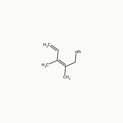 C=CC(C)=C(C)CCCC